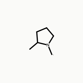 [CH2]N1CCCC1C